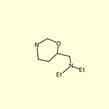 CCN(CC)CC1CC[N]CO1